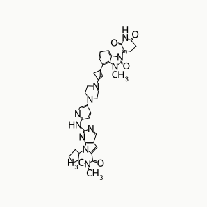 CN(C)C(=O)c1cc2cnc(Nc3ccc(N4CCN(C56CC(c7cccc8c7n(C)c(=O)n8[C@@H]7CCC(=O)NC7=O)(C5)C6)CC4)cn3)nc2n1C1CCCC1